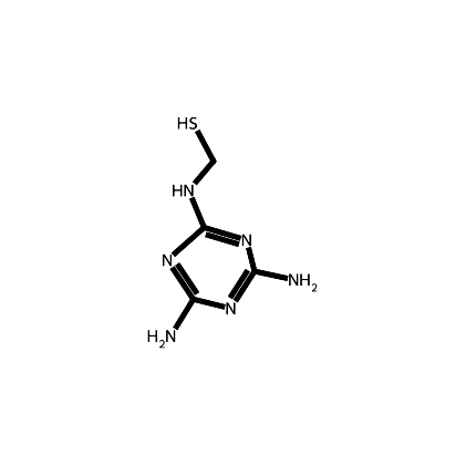 Nc1nc(N)nc(NCS)n1